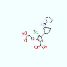 O=C(O)COc1c(C(=O)O)sc(-c2cccc(NC3CCCC3)c2)c1Br